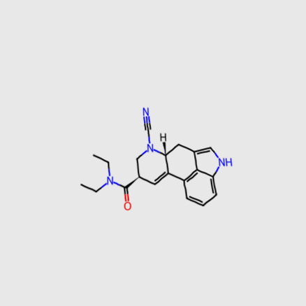 CCN(CC)C(=O)[C@@H]1C=C2c3cccc4[nH]cc(c34)C[C@H]2N(C#N)C1